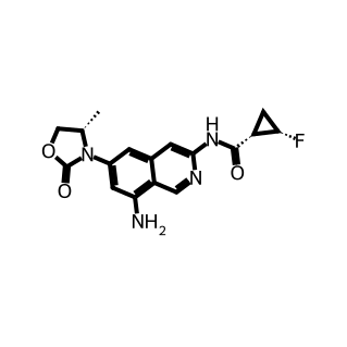 C[C@H]1COC(=O)N1c1cc(N)c2cnc(NC(=O)[C@@H]3C[C@@H]3F)cc2c1